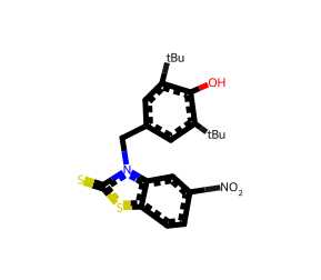 CC(C)(C)c1cc(Cn2c(=S)sc3ccc([N+](=O)[O-])cc32)cc(C(C)(C)C)c1O